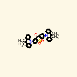 CC1(C)c2ccccc2N(c2ccc3c(c2)C(=O)c2ccc(N4c5ccccc5C(C)(C)c5ccccc54)cc2S3(=O)=O)c2ccccc21